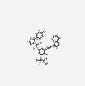 Cc1ccc(NC(=O)N2N=CCC2c2ccc(F)cc2)cc1C#Cc1cnc2cccnn12.O=C(O)C(F)(F)F